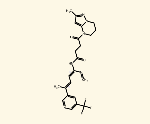 C=N/C(=C\C=C(/C)c1cncc(C(F)(F)F)c1)NC(=O)CCC(=O)N1CCCn2nc(C)cc21